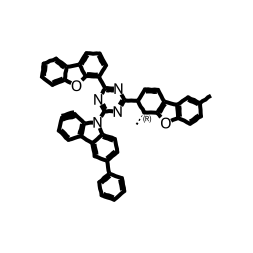 Cc1ccc2oc3c(c2c1)C=CC(c1nc(-c2cccc4c2oc2ccccc24)nc(-n2c4c#cccc4c4cc(-c5ccccc5)ccc42)n1)[C@H]3C